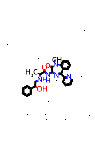 C[C@H](NCC(O)c1ccccc1)C(=O)NC1N=C(c2ccccn2)c2ccccc2N(C)C1=O